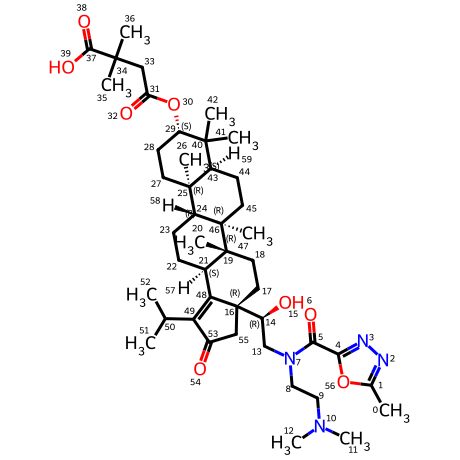 Cc1nnc(C(=O)N(CCN(C)C)C[C@H](O)[C@@]23CC[C@]4(C)[C@H](CC[C@@H]5[C@@]6(C)CC[C@H](OC(=O)CC(C)(C)C(=O)O)C(C)(C)[C@H]6CC[C@]54C)C2=C(C(C)C)C(=O)C3)o1